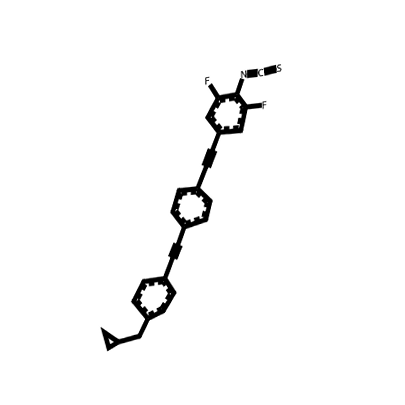 Fc1cc(C#Cc2ccc(C#Cc3ccc(CC4CC4)cc3)cc2)cc(F)c1N=C=S